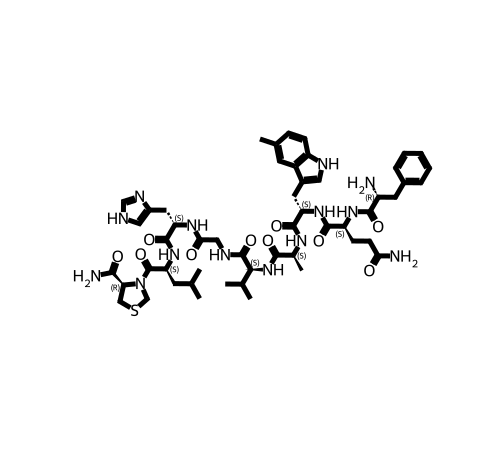 Cc1ccc2[nH]cc(C[C@H](NC(=O)[C@H](CCC(N)=O)NC(=O)[C@H](N)Cc3ccccc3)C(=O)N[C@@H](C)C(=O)N[C@H](C(=O)NCC(=O)N[C@@H](Cc3c[nH]cn3)C(=O)N[C@@H](CC(C)C)C(=O)N3CSC[C@H]3C(N)=O)C(C)C)c2c1